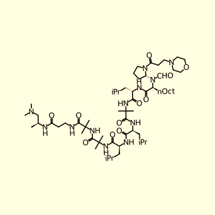 CCCCCCCC[C@@H](C(=O)N[C@@H](CC(C)C)C(=O)NC(C)(C)C(=O)N[C@@H](CC(C)C)C(=O)N[C@@H](CC(C)C)C(=O)NC(C)(C)C(=O)NC(C)(C)C(=O)NCCC(=O)N[C@@H](C)CN(C)C)N(C=O)[C@@H]1CCCN1C(=O)CCN1CCOCC1